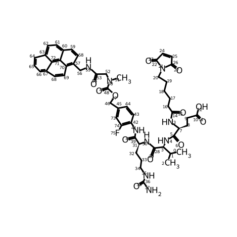 CC(C)[C@H](NC(=O)[C@H](CCC(=O)O)NC(=O)CCCCCN1C(=O)C=CC1=O)C(=O)N[C@@H](CCCNC(N)=O)C(=O)Nc1ccc(COC(=O)N(C)CC(=O)NCc2ccc3ccc4cccc5ccc2c3c45)cc1F